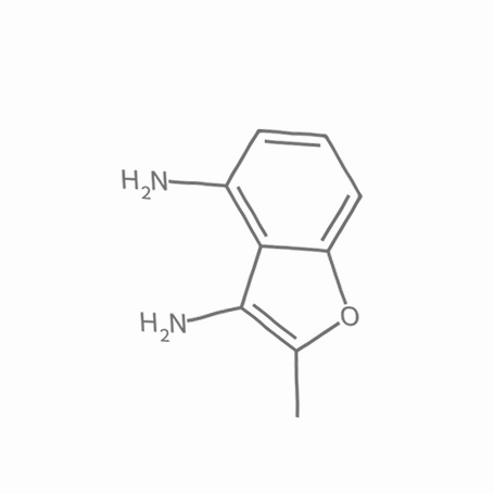 Cc1oc2cccc(N)c2c1N